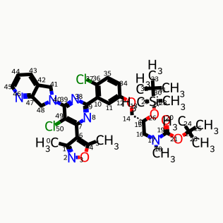 Cc1noc(C)c1-c1nc(-c2cc(OC[C@@H](CN(C)C(=O)OC(C)(C)C)O[Si](C)(C)C(C)(C)C)ccc2Cl)nc(N2Cc3cccnc3C2)c1Cl